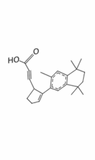 Cc1cc2c(cc1C1=CCCC1C#CC(=O)O)C(C)(C)CCC2(C)C